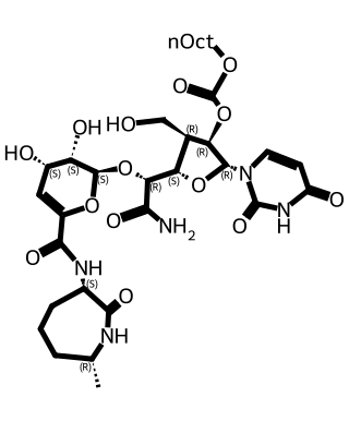 CCCCCCCCOC(=O)O[C@@H]1[C@H](CO)[C@@H]([C@@H](O[C@H]2OC(C(=O)N[C@H]3CCC[C@@H](C)NC3=O)=C[C@H](O)[C@@H]2O)C(N)=O)O[C@H]1n1ccc(=O)[nH]c1=O